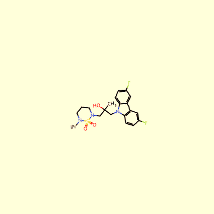 CC(C)N1CCCN(CC(C)(O)Cn2c3ccc(F)cc3c3cc(F)ccc32)S1(=O)=O